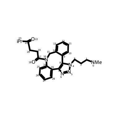 CNCCCn1nnc2c1-c1ccccc1CN(C(=O)CCC(=O)C(C)C)c1ccccc1-2